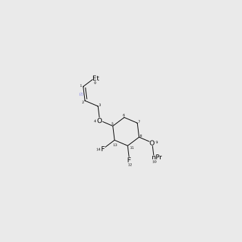 CC/C=C\COC1CCC(OCCC)C(F)C1F